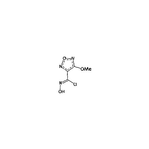 COc1nonc1/C(Cl)=N/O